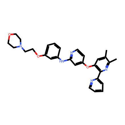 Cc1cc(Oc2ccnc(Nc3cccc(OCCN4CCOCC4)c3)c2)c(-c2ccccn2)nc1C